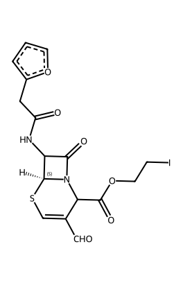 O=CC1=CS[C@H]2C(NC(=O)Cc3ccco3)C(=O)N2C1C(=O)OCCI